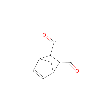 O=[C]C1C2C=CC(C2)C1[C]=O